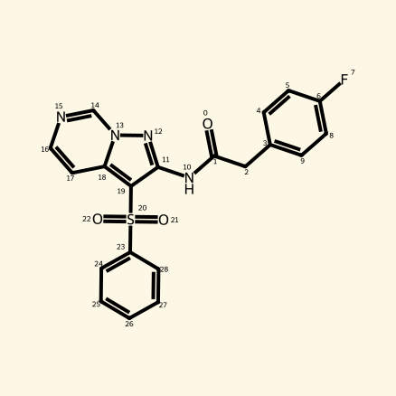 O=C(Cc1ccc(F)cc1)Nc1nn2cnccc2c1S(=O)(=O)c1ccccc1